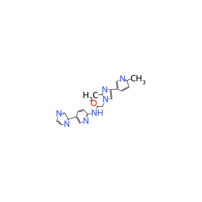 Cc1ccc(-c2cn(CC(=O)Nc3ccc(-c4cnccn4)cn3)c(C)n2)cn1